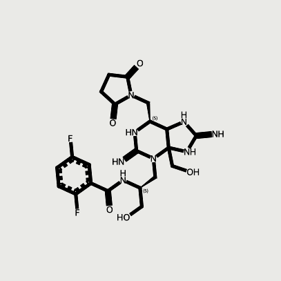 N=C1NC2[C@H](CN3C(=O)CCC3=O)NC(=N)N(C[C@@H](CO)NC(=O)c3cc(F)ccc3F)C2(CO)N1